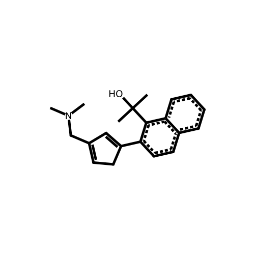 CN(C)CC1=CCC(c2ccc3ccccc3c2C(C)(C)O)=C1